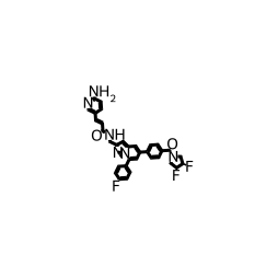 Nc1ccc(/C=C/C(=O)NCc2cc3cc(-c4ccc(C(=O)N5C[C@@H](F)[C@H](F)C5)cc4)cc(-c4ccc(F)cc4)n3n2)cn1